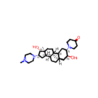 CN1CCN([C@H]2C[C@H]3[C@@H]4CC[C@H]5C[C@H](O)[C@@H](N6CCC(=O)CC6)C[C@]5(C)[C@H]4CC[C@]3(C)[C@H]2O)CC1